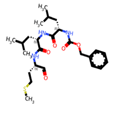 CSCC[C@@H](C=O)NC(=O)[C@H](CC(C)C)NC(=O)[C@H](CC(C)C)NC(=O)OCc1ccccc1